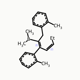 CC/C=C\C(=C(/Cc1ccccc1C)B(C)C)c1ccccc1C